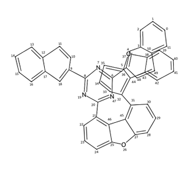 c1ccc2cc(-c3nc(-c4ccc5ccccc5c4)nc(-c4cccc5oc6cccc(-c7cccc8oc9ccccc9c78)c6c45)n3)ccc2c1